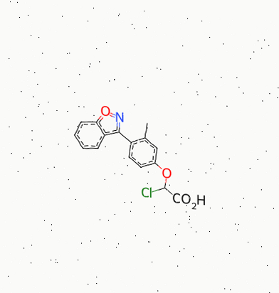 Cc1cc(OC(Cl)C(=O)O)ccc1-c1noc2ccccc12